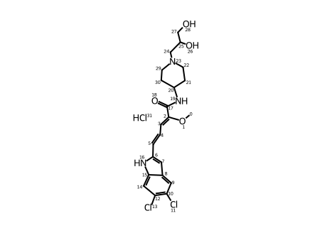 CO/C(=C\C=C\c1cc2cc(Cl)c(Cl)cc2[nH]1)C(=O)NC1CCN(CC(O)CO)CC1.Cl